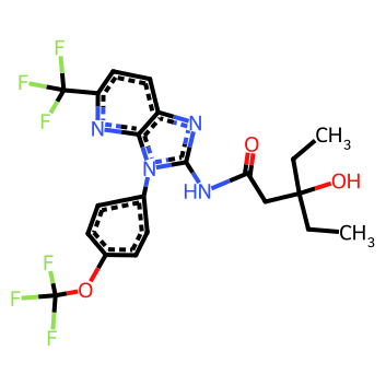 CCC(O)(CC)CC(=O)Nc1nc2ccc(C(F)(F)F)nc2n1-c1ccc(OC(F)(F)F)cc1